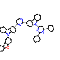 c1ccc(-c2cc(-n3c4ccccc4c4cc(-c5nccc(-c6ccc7c(c6)c6ccccc6n7-c6ccc7oc8ccncc8c7c6)n5)ccc43)nc(-c3ccccc3)n2)cc1